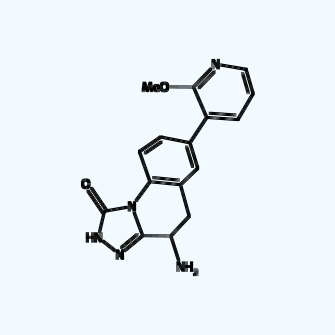 COc1ncccc1-c1ccc2c(c1)CC(N)c1n[nH]c(=O)n1-2